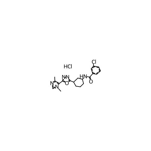 Cc1ncn(C)c1-c1nnc(C2CCCC(NC(=O)c3cccc(Cl)c3)C2)o1.Cl